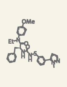 CCN(C(=O)[C@H](Cc1ccccc1)NC(=O)NSc1cccc(-c2ccnn2C)c1)c1ccc(OC)cc1